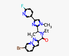 CCN(C(=O)c1cc2ccc(Br)cn2n1)C(C)c1nc(-c2ccc(F)nc2)cn1C